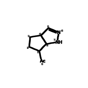 CC(=O)C1CCC2C=NNC21